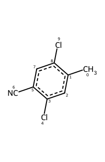 Cc1cc(Cl)c(C#N)cc1Cl